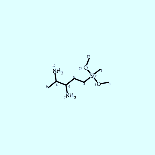 CO[Si](C)(CCC(N)C(C)N)OC